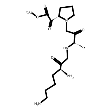 C[C@H](NCC(=O)[C@@H](N)CCCCN)C(=O)CN1CCC[C@H]1C(=O)C(=O)OC(C)(C)C